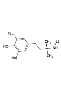 CCNC(C)(C)CCc1cc(C(C)(C)C)c(O)c(C(C)(C)C)c1